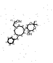 C[C@H](O)CN1CCN(Cc2ccccc2)CCN([C@@H]2COC(C)(C)OC[C@H]2O)CC1